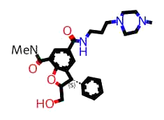 CNC(=O)c1cc(C(=O)NCCCN2CCN(C)CC2)cc2c1OC(CO)[C@H]2c1ccccc1